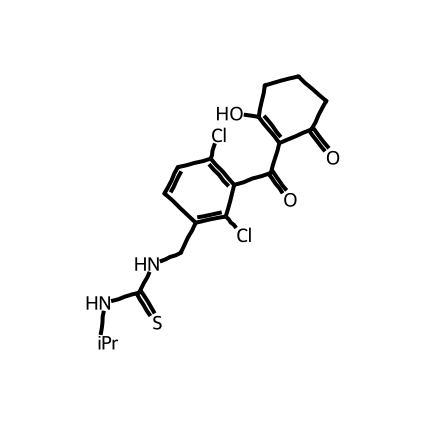 CC(C)NC(=S)NCc1ccc(Cl)c(C(=O)C2=C(O)CCCC2=O)c1Cl